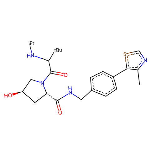 Cc1ncsc1-c1ccc(CNC(=O)[C@@H]2C[C@@H](O)CN2C(=O)C(NC(C)C)C(C)(C)C)cc1